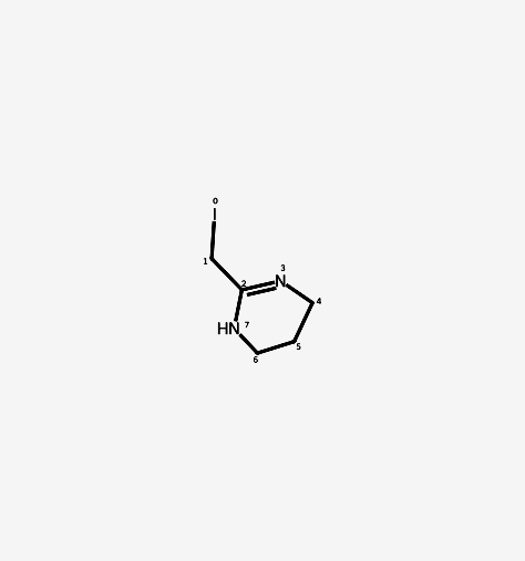 ICC1=NCCCN1